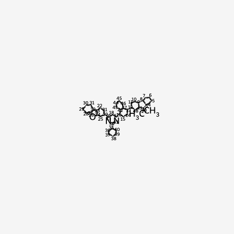 CC1(C)c2ccccc2-c2ccc(-c3ccc(-c4cc(-c5ccc6c(c5)oc5ccccc56)nc(-c5ccccc5)n4)c4ccccc34)cc21